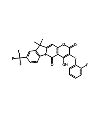 CC1(C)c2cc(C(F)(F)F)ccc2-n2c1cc1oc(=O)c(Sc3ccccc3F)c(O)c1c2=O